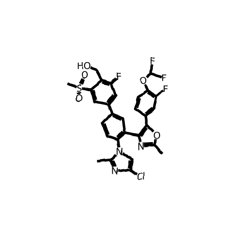 Cc1nc(-c2cc(-c3cc(F)c(CO)c(S(C)(=O)=O)c3)ccc2-n2cc(Cl)nc2C)c(-c2ccc(OC(F)F)c(F)c2)o1